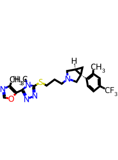 Cc1cc(C(F)(F)F)ccc1[C@@]12C[C@@H]1CN(CCCSc1nnc(-c3ocnc3C)n1C)C2